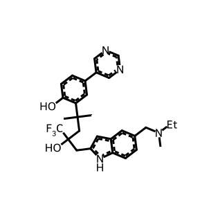 CCN(C)Cc1ccc2[nH]c(CC(O)(CC(C)(C)c3cc(-c4cncnc4)ccc3O)C(F)(F)F)cc2c1